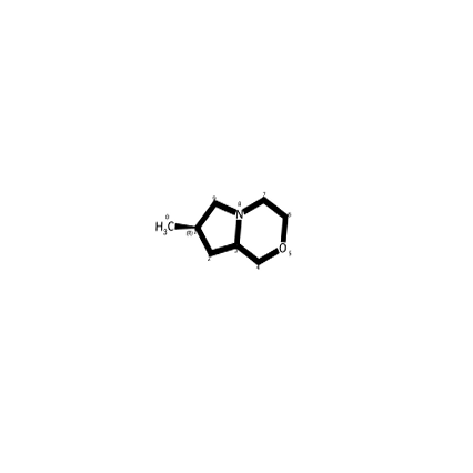 C[C@@H]1CC2COCCN2C1